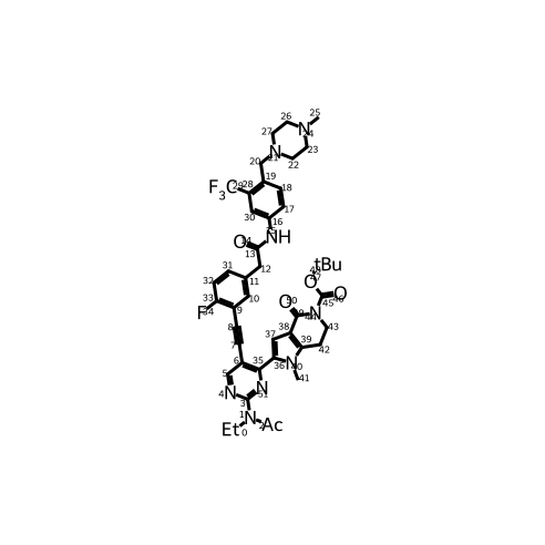 CCN(C(C)=O)c1ncc(C#Cc2cc(CC(=O)Nc3ccc(CN4CCN(C)CC4)c(C(F)(F)F)c3)ccc2F)c(-c2cc3c(n2C)CCN(C(=O)OC(C)(C)C)C3=O)n1